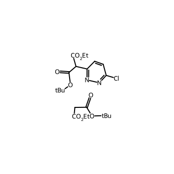 CCOC(=O)C(C(=O)OC(C)(C)C)c1ccc(Cl)nn1.CCOC(=O)CC(=O)OC(C)(C)C